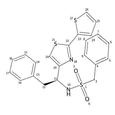 O=S(=O)(Cc1ccccc1)N[C@@H](Cc1cc[c]cc1)c1csc(-c2cccs2)n1